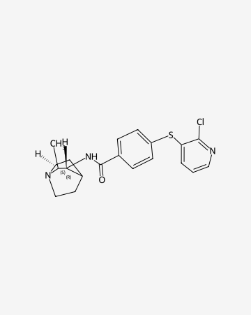 C[C@H]1[C@H](NC(=O)c2ccc(Sc3cccnc3Cl)cc2)C2CCN1CC2